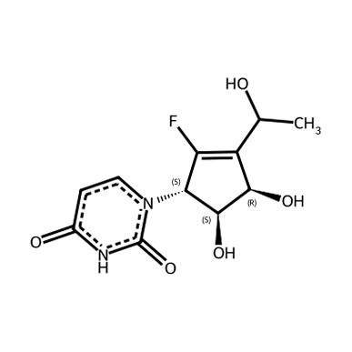 CC(O)C1=C(F)[C@@H](n2ccc(=O)[nH]c2=O)[C@H](O)[C@@H]1O